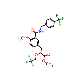 COC(=O)C(Cc1ccc(OC)c(C(=O)NCc2ccc(C(F)(F)F)cc2)c1)OCC(F)(F)F